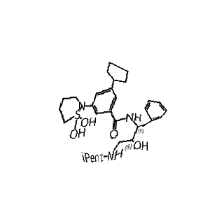 CCCC(C)NC[C@H](O)[C@H](Cc1ccccc1)NC(=O)c1cc(C2CCCC2)cc(N2CCCCS2(O)O)c1